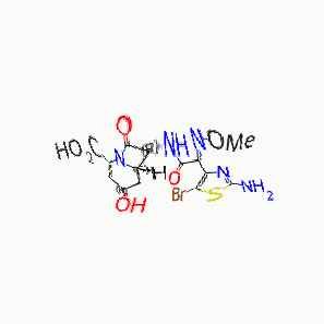 CON=C(C(=O)N[C@H]1C(=O)N2C(C(=O)O)=C[C@H](O)C[C@@H]12)c1nc(N)sc1Br